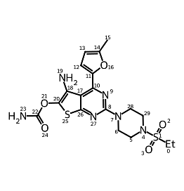 CCS(=O)(=O)N1CCN(c2nc(-c3ccc(C)o3)c3c(N)c(OC(N)=O)sc3n2)CC1